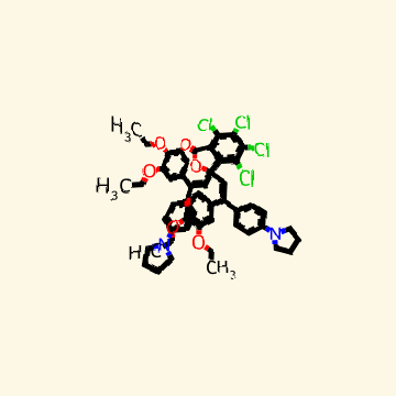 CCOc1ccc(/C(=C\C2(/C=C(/c3ccc(N4CCCC4)cc3)c3ccc(OCC)c(OCC)c3)OC(=O)c3c(Cl)c(Cl)c(Cl)c(Cl)c32)c2ccc(N3CCCC3)cc2)cc1OCC